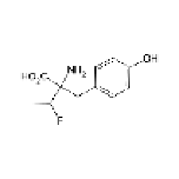 CC(F)C(N)(Cc1ccc(O)cc1)C(=O)O